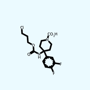 O=C(NC1(c2ccc(F)c(F)c2)CCN(C(=O)O)CC1)OCCCCl